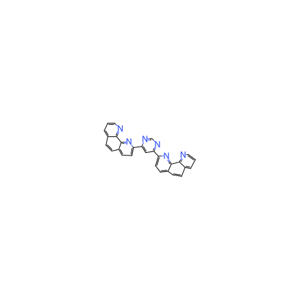 c1cnc2c(c1)ccc1ccc(-c3cc(-c4ccc5ccc6cccnc6c5n4)ncn3)nc12